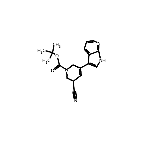 CC(C)(C)OC(=O)N1CC(c2c[nH]c3ncccc23)=CC(C#N)C1